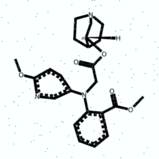 COC(=O)c1ccccc1N(CC(=O)O[C@H]1CN2CCC1CC2)c1ccc(OC)nc1